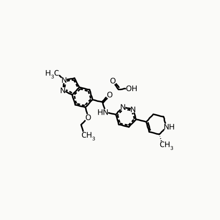 CCOc1cc2nn(C)cc2cc1C(=O)Nc1ccc(C2=C[C@@H](C)NCC2)nn1.O=CO